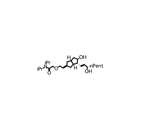 CCCCC[C@H](O)/C=C/[C@@H]1[C@H]2C/C(=C/COCC(=O)N(C(C)C)C(C)C)C[C@H]2C[C@H]1O